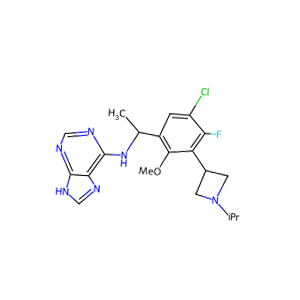 COc1c(C(C)Nc2ncnc3[nH]cnc23)cc(Cl)c(F)c1C1CN(C(C)C)C1